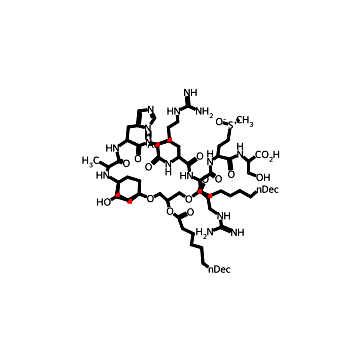 CCCCCCCCCCCCCCCC(=O)OCC(COC12CCC(NC(C)C(=O)NC(Cc3cnc[nH]3)C(=O)NC(CCCNC(=N)N)C(=O)NC(CCC(C)=O)C(=O)NC(CCCNC(=N)N)C(=O)NC(CC[S+](C)[O-])C(=O)NC(CO)C(=O)O)(CC1)C(O)C2)OC(=O)CCCCCCCCCCCCCCC